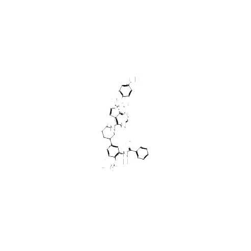 Cc1ccc(S(=O)(=O)n2ccc3c(N4CCCC(c5ccc(OC(F)(F)F)c(NC(=O)c6ccccc6)c5)C4)ncnc32)cc1